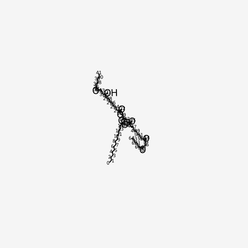 CCCCCCCCCCCCCCCC(=O)OC(COC(=O)CCCCCCCC(O)CCC1OC1CCCCC)COC(=O)CCCCCCCC1OC1CC1OC1CCCCC